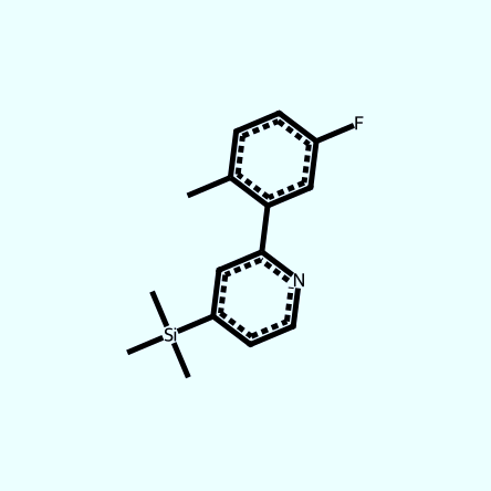 Cc1ccc(F)cc1-c1cc([Si](C)(C)C)ccn1